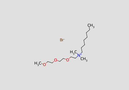 CCCCCCCC[N+](C)(C)CCOCCOCCOC.[Br-]